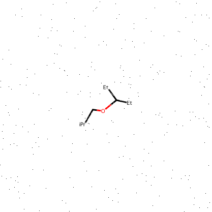 [CH2]CC(CC)OCC(C)C